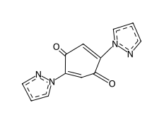 O=C1C=C(n2cccn2)C(=O)C=C1n1cccn1